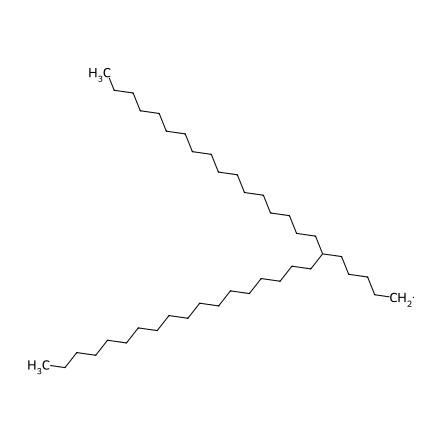 [CH2]CCCCC(CCCCCCCCCCCCCCCCC)CCCCCCCCCCCCCCCCCC